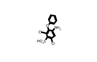 Nc1cc(Cl)c(S(=O)(=O)O)c(Cl)c1Oc1ccccc1